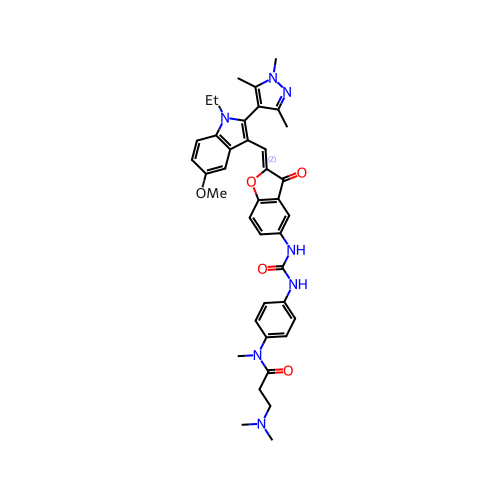 CCn1c(-c2c(C)nn(C)c2C)c(/C=C2\Oc3ccc(NC(=O)Nc4ccc(N(C)C(=O)CCN(C)C)cc4)cc3C2=O)c2cc(OC)ccc21